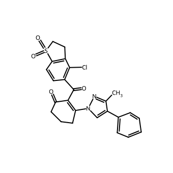 Cc1nn(C2=C(C(=O)c3ccc4c(c3Cl)CCS4(=O)=O)C(=O)CCC2)cc1-c1ccccc1